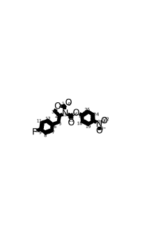 O=C1OCC(Cc2ccc(F)cc2)N1C(=O)Oc1ccc([N+](=O)[O-])cc1